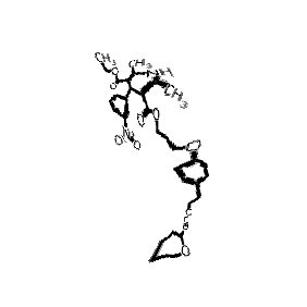 CCOC(=O)C1=C(C)NC(C)=C(C(=O)OCCCOc2ccc(CCCCOC3CCCCO3)cc2)C1c1cccc([N+](=O)[O-])c1